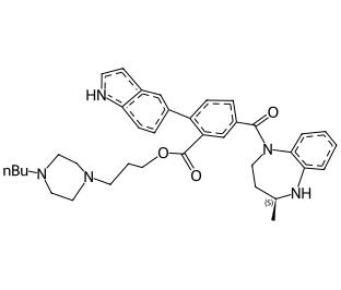 CCCCN1CCN(CCCOC(=O)c2cc(C(=O)N3CC[C@H](C)Nc4ccccc43)ccc2-c2ccc3[nH]ccc3c2)CC1